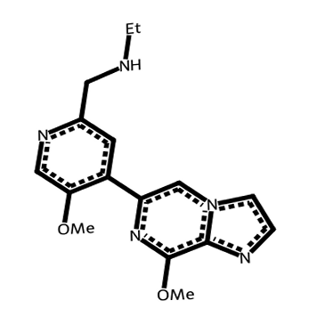 CCNCc1cc(-c2cn3ccnc3c(OC)n2)c(OC)cn1